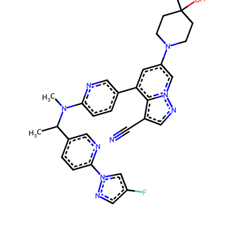 CC(c1ccc(-n2cc(F)cn2)nc1)N(C)c1ccc(-c2cc(N3CCC(C)(O)CC3)cn3ncc(C#N)c23)cn1